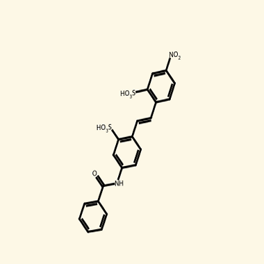 O=C(Nc1ccc(C=Cc2ccc([N+](=O)[O-])cc2S(=O)(=O)O)c(S(=O)(=O)O)c1)c1ccccc1